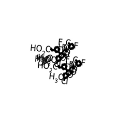 Cc1cc2c(-c3cccc(/C=C/C(=O)O)c3)c(CC(=O)Nc3ccc(F)cc3C(F)(F)F)c(=O)oc2cc1Cl.Cc1cc2c(-c3cccc(/C=C/C(=O)O)c3)c(CC(=O)Nc3ccc(F)cc3C(F)(F)F)c(=O)oc2cc1Cl.O.O.O.[K]